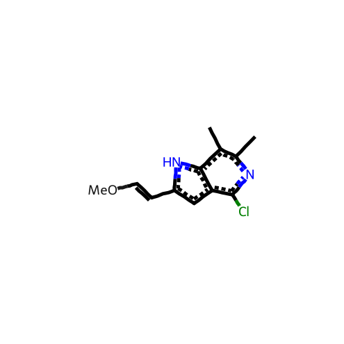 COC=Cc1cc2c(Cl)nc(C)c(C)c2[nH]1